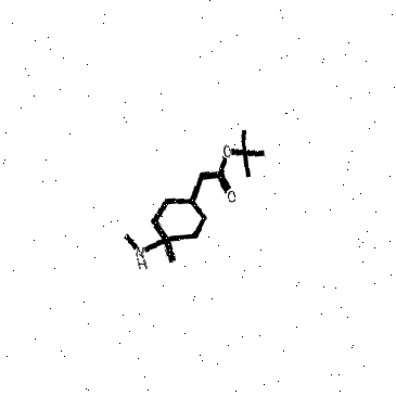 CNC1(C)CCC(CC(=O)OC(C)(C)C)CC1